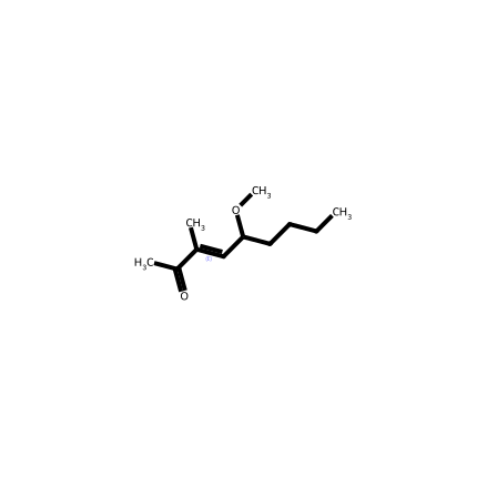 CCCCC(/C=C(\C)C(C)=O)OC